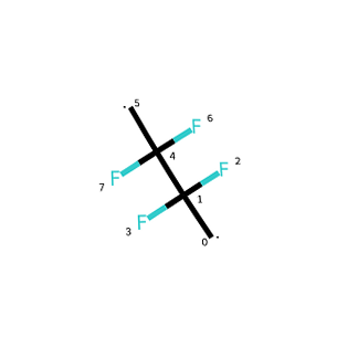 [CH2]C(F)(F)C([CH2])(F)F